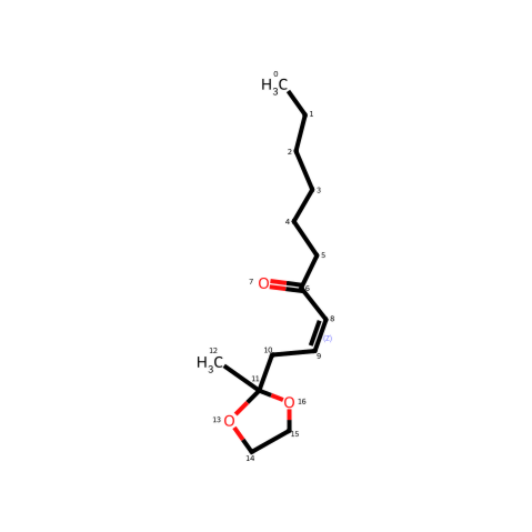 CCCCCCC(=O)/C=C\CC1(C)OCCO1